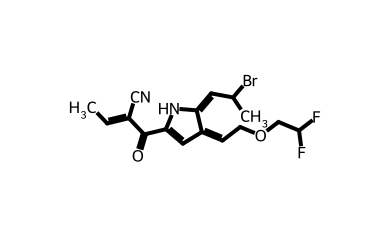 C/C=C(\C#N)C(=O)c1cc(=C/COCC(F)F)/c(=C\C(C)Br)[nH]1